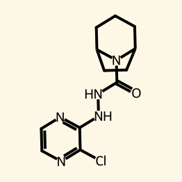 O=C(NNc1nccnc1Cl)N1C2CCCC1CC2